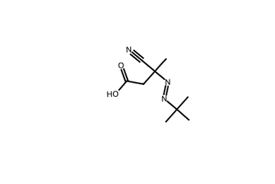 CC(C)(C)N=NC(C)(C#N)CC(=O)O